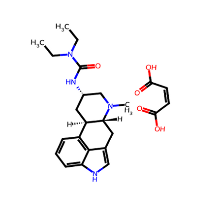 CCN(CC)C(=O)N[C@H]1C[C@@H]2c3cccc4[nH]cc(c34)C[C@H]2N(C)C1.O=C(O)/C=C\C(=O)O